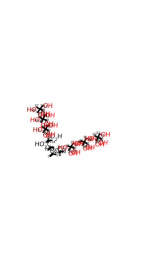 C=C(C)C(=O)O.C=C(C)C(=O)O.C=C(C)C(=O)O.C=C(C)C(=O)O.OCC(CO)(CO)CO.OCC(CO)(CO)CO.OCC(CO)(CO)CO.OCC(CO)(CO)CO.OCC(CO)(CO)CO.OCC(CO)(CO)CO